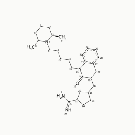 CC1CCC[C@@H](C)N1CCCCCN1C(=O)C(CC2CCC(C(=N)N)C2)Cc2ccccc21